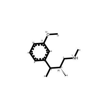 CNC[C@H](C)C(C)c1cccc(OC)c1